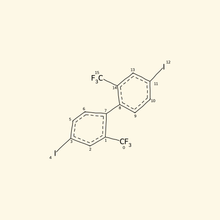 FC(F)(F)c1cc(I)ccc1-c1ccc(I)cc1C(F)(F)F